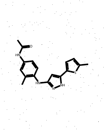 CC(=O)Nc1ccc(Nc2cc(-c3ccc(C)s3)[nH]n2)c(C)c1